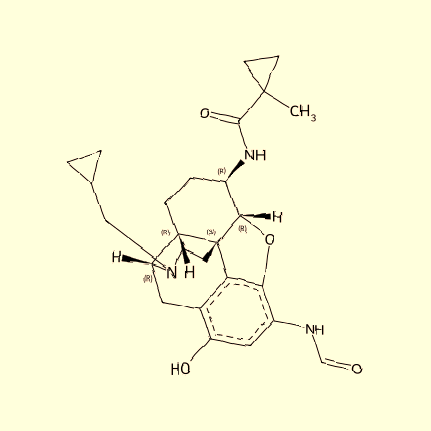 CC1(C(=O)N[C@@H]2CC[C@H]3[C@H]4Cc5c(O)cc(NC=O)c6c5[C@@]3(CCN4CC3CC3)[C@H]2O6)CC1